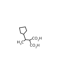 CC(C1CCCC1)C(C(=O)O)C(=O)O